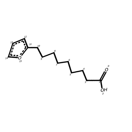 O=C(O)CCCCCCCCc1ccco1